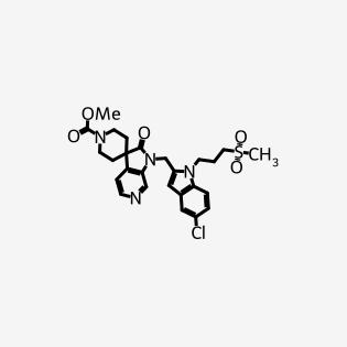 COC(=O)N1CCC2(CC1)C(=O)N(Cc1cc3cc(Cl)ccc3n1CCCS(C)(=O)=O)c1cnccc12